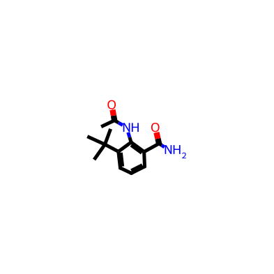 CC(=O)Nc1c(C(N)=O)cccc1C(C)(C)C